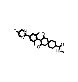 CNC(=O)C1CCC2(CC1)CC(=O)C(c1c(C)cc(-c3ncc(F)cn3)cc1C)C(=O)C2